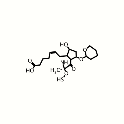 C[C@@](N)(OS)C(=O)C1C(OC2CCCCO2)CC(O)C1C/C=C\CCCC(=O)O